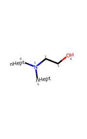 CCCCCCCN(CCO)CCCCCCC